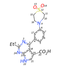 CCc1nc(-c2cccc(N3CCS(=O)(=O)CC3)c2)c2c(C(=O)O)c[nH]c2n1